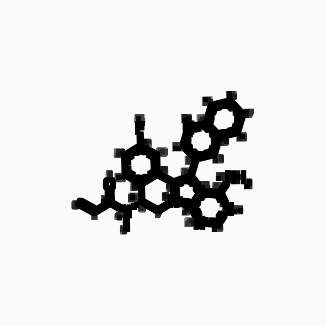 C=CC(=O)N(C)[C@H]1Cn2c(c(-c3cnc4ccccc4c3)c3c(N)ncnc32)-c2cc(F)ccc21